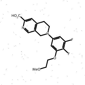 COCCOc1cc(N2CCc3cc(C(=O)O)ncc3C2)cc(F)c1F